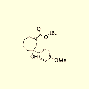 COc1ccc(C2(O)CCCCN(C(=O)OC(C)(C)C)C2)cc1